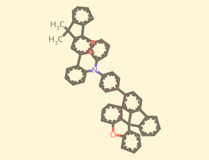 CC1(C)c2ccccc2-c2ccc(-c3ccccc3N(c3ccccc3)c3ccc(-c4ccc5c(c4)C4(c6ccccc6Oc6ccccc64)c4ccccc4-5)cc3)cc21